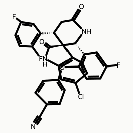 N#Cc1ccc(Oc2ccc(F)cc2[C@H]2NC(=O)C[C@@H](c3cc(F)ccc3F)[C@]23C(=O)Nc2cc(Cl)ccc23)cc1